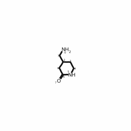 NCC1CCNC(=O)C1